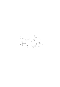 CCCCC[C@H]1[C@H]2C(C(O)CC[C@@H]2C)[C@H]2C[C@@]2(C)[C@H]1C(C)CC(C)(C)C